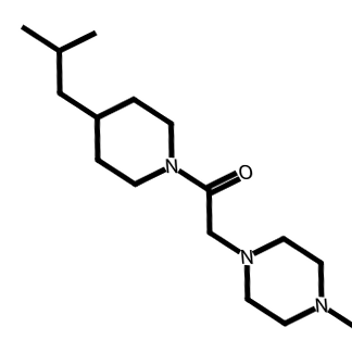 CC(C)CC1CCN(C(=O)CN2CCN(C)CC2)CC1